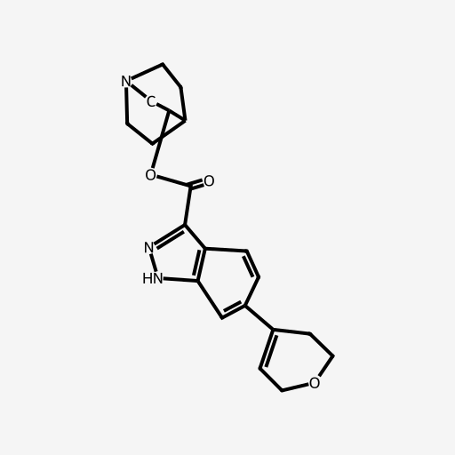 O=C(OC1CN2CCC1CC2)c1n[nH]c2cc(C3=CCOCC3)ccc12